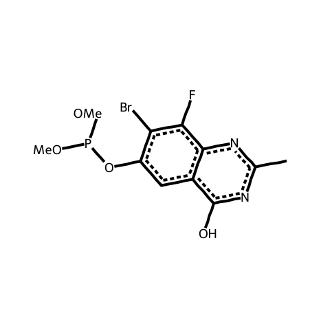 COP(OC)Oc1cc2c(O)nc(C)nc2c(F)c1Br